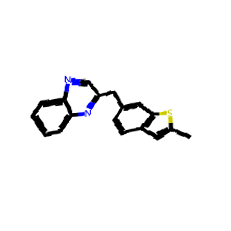 Cc1cc2ccc(Cc3cnc4ccccc4n3)cc2s1